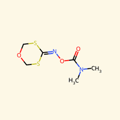 CN(C)C(=O)ON=C1SCOCS1